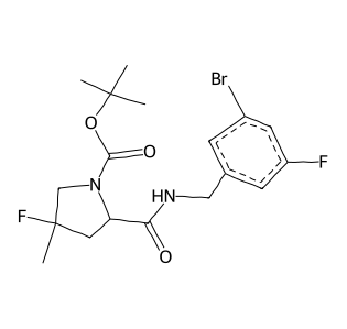 CC1(F)CC(C(=O)NCc2cc(F)cc(Br)c2)N(C(=O)OC(C)(C)C)C1